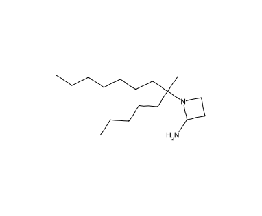 CCCCCCCC(C)(CCCCC)N1CCC1N